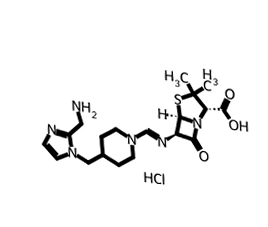 CC1(C)S[C@@H]2[C@H](N=CN3CCC(Cn4ccnc4CN)CC3)C(=O)N2[C@H]1C(=O)O.Cl